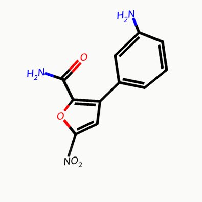 NC(=O)c1oc([N+](=O)[O-])cc1-c1cccc(N)c1